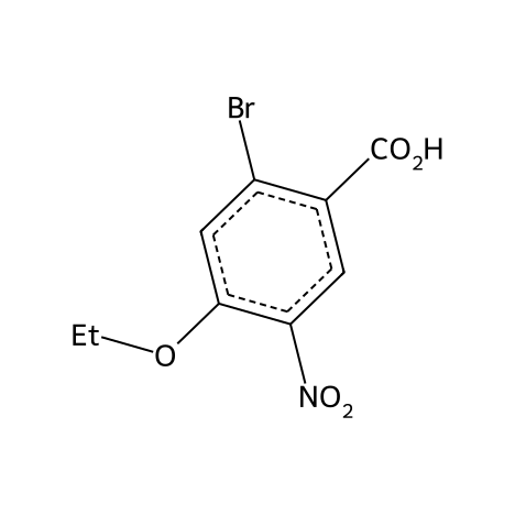 CCOc1cc(Br)c(C(=O)O)cc1[N+](=O)[O-]